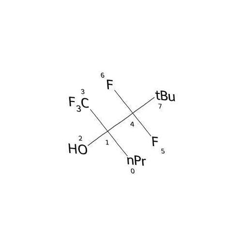 CCCC(O)(C(F)(F)F)C(F)(F)C(C)(C)C